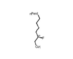 CCCCCCCCC[C@@H](F)CO